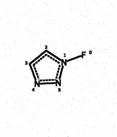 Fn1ccnn1